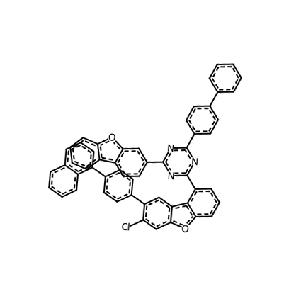 Clc1cc2oc3cccc(-c4nc(-c5ccc(-c6ccccc6)cc5)nc(-c5ccc6c(c5)oc5ccccc56)n4)c3c2cc1-c1ccc(-c2cccc3ccccc23)cc1